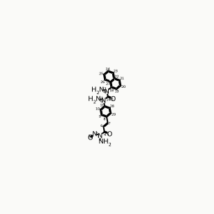 NN(N=O)C(=O)/C=C/c1ccc(N(N)C(=O)N(N)c2cccc3ccccc23)cc1